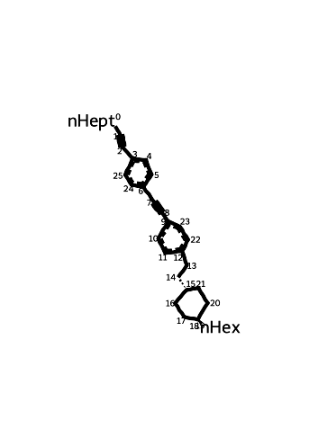 CCCCCCCC#Cc1ccc(C#Cc2ccc(CC[C@H]3CC[C@H](CCCCCC)CC3)cc2)cc1